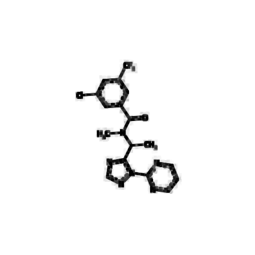 CC(c1ncnn1-c1ncccn1)N(C)C(=O)c1cc(Cl)cc(C(F)(F)F)c1